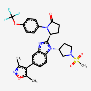 Cc1noc(C)c1-c1ccc2c(c1)nc([C@@H]1CCC(=O)N1c1ccc(OC(F)(F)F)cc1)n2[C@@H]1CCN(S(C)(=O)=O)C1